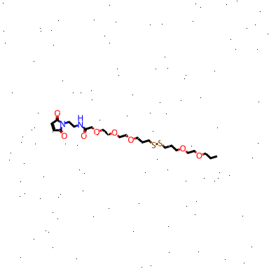 CCCOCCOCCCSSCCCOCCOCCOCC(=O)NCCN1C(=O)C=CC1=O